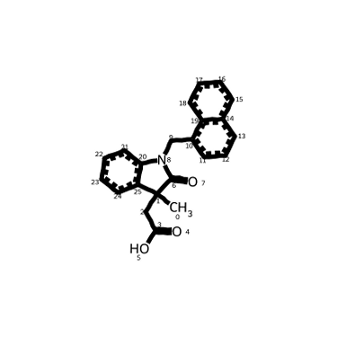 CC1(CC(=O)O)C(=O)N(Cc2cccc3ccccc23)c2ccccc21